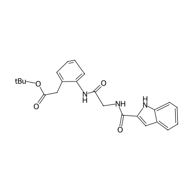 CC(C)(C)OC(=O)Cc1ccccc1NC(=O)CNC(=O)c1cc2ccccc2[nH]1